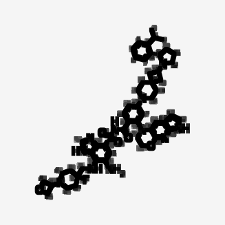 CC(C)c1ccccc1[C@@H]1CCCN1C1CC2(CCN(c3ccc(C(=O)NS(=O)(=O)c4cc(N)c(NCC5(F)CCN(C6COC6)CC5)c5[nH]cnc45)c(N4CCOc5nc6[nH]ccc6cc54)c3)CC2)C1